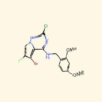 COc1ccc(CNc2nc(Cl)nn3cc(F)c(Br)c23)c(OC)c1